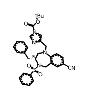 CC(C)(C)OC(=O)n1cnc(CN2C[C@@H](Cc3ccccc3)N(S(=O)(=O)c3ccccc3)Cc3cc(C#N)ccc32)c1